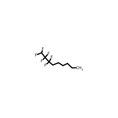 CCCCCCC(F)(F)C(F)(F)[C](F)F